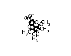 COC(=O)C1=C(C)NC(C)=C(C(C)=O)C1c1ccc([N+](=O)[O-])cc1